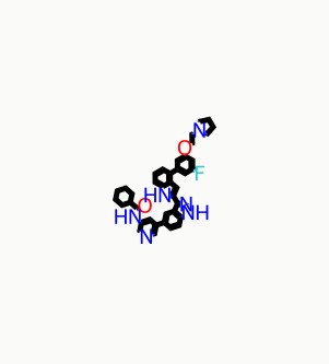 O=C(Nc1cncc(-c2ccc3[nH]nc(-c4cc5c(-c6cc(F)cc(OCCN7CCCC7)c6)cccc5[nH]4)c3c2)c1)C1CCCCC1